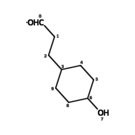 O=[C]CCC1CCC(O)CC1